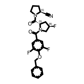 N#C[C@@H]1CCCN1C(=O)[C@@H]1C[C@@H](F)CN1C(=O)c1cc(F)c(OCc2ccccc2)c(F)c1